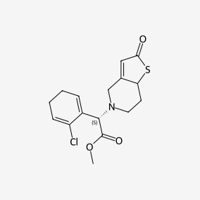 COC(=O)[C@H](C1=CCCC=C1Cl)N1CCC2SC(=O)C=C2C1